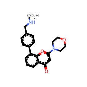 O=C(O)NCc1ccc(-c2cccc3c(=O)cc(N4CCOCC4)oc23)cc1